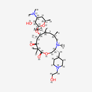 CCN1C[C@H](C)C[C@@](C)(OC)[C@H](O[C@@H]2O[C@H](C)C[C@H](N(C)C)[C@H]2O)[C@@H](C)C(=O)C(C)(C)C(=O)OC[C@H]1CC1CCN(CCO)CC1